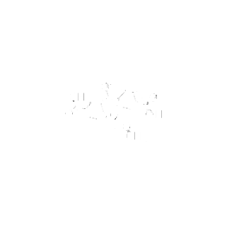 COCOc1ccc(C(C)=O)cc1C(=O)c1ccc(C(=O)O)cc1